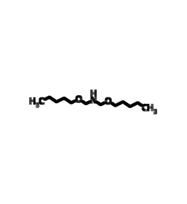 CCCCCOCNCOCCCCC